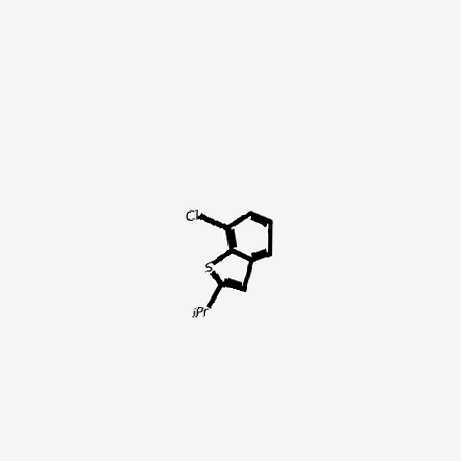 CC(C)c1cc2cccc(Cl)c2s1